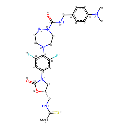 COC(=S)NC[C@H]1CN(c2cc(F)c(N3CCNN(C(=O)NCc4ccc(N(C)C)cc4)CC3)c(F)c2)C(=O)O1